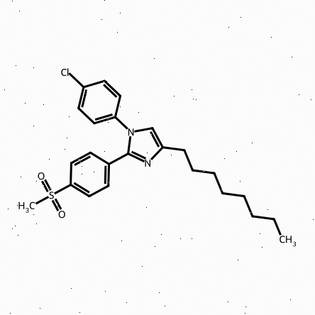 CCCCCCCCc1cn(-c2ccc(Cl)cc2)c(-c2ccc(S(C)(=O)=O)cc2)n1